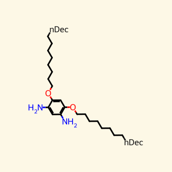 CCCCCCCCCCCCCCCCCCOc1cc(OCCCCCCCCCCCCCCCCCC)c(N)cc1N